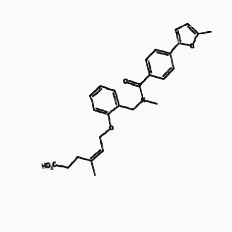 CC(=CCOc1ccccc1CN(C)C(=O)c1ccc(-c2ccc(C)o2)cc1)CCC(=O)O